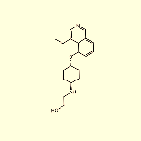 CCc1cncc2cccc(O[C@H]3CC[C@H](NCCO)CC3)c12